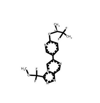 COC(F)(F)c1nnc2cnc(-c3ccc(O[C@@H](C)C(C)(F)F)nc3)cn12